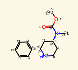 CCN(C(=O)OC(C)(C)C)[C@H]1CCN[C@H](c2ccccc2)C1